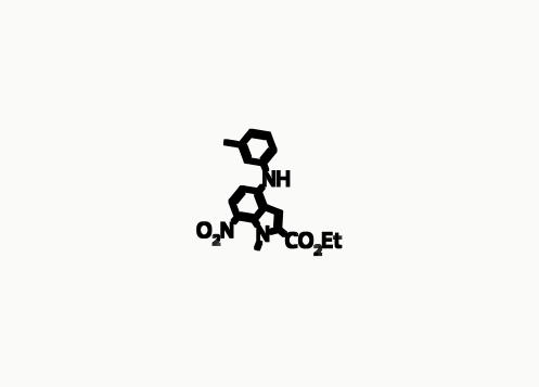 CCOC(=O)c1cc2c(Nc3cccc(C)c3)ccc([N+](=O)[O-])c2n1C